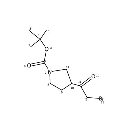 CC(C)(C)OC(=O)N1CCC(C(=O)CBr)C1